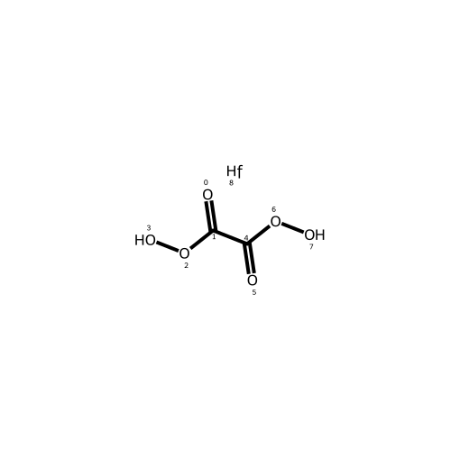 O=C(OO)C(=O)OO.[Hf]